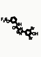 O=C(Nc1cccc(OC(F)(F)F)c1)c1nc(-c2cc(Br)c(O)c(Br)c2)no1